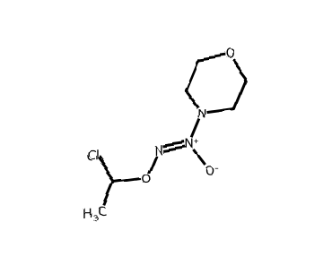 CC(Cl)O/N=[N+](\[O-])N1CCOCC1